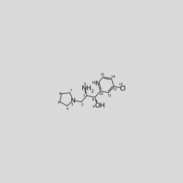 N[C@H](CN1CCCC1)[C@H](O)c1cc(Cl)ccn1